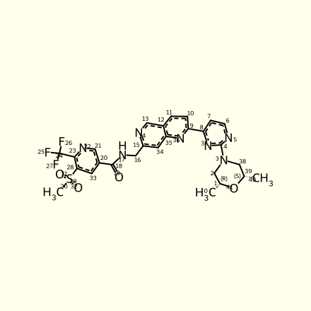 C[C@@H]1CN(c2nccc(-c3ccc4cnc(CNC(=O)c5cnc(C(F)(F)F)c(S(C)(=O)=O)c5)cc4n3)n2)C[C@H](C)O1